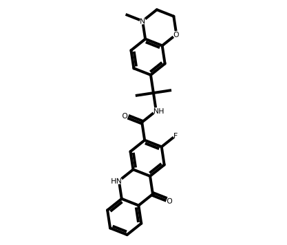 CN1CCOc2cc(C(C)(C)NC(=O)c3cc4[nH]c5ccccc5c(=O)c4cc3F)ccc21